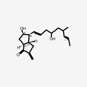 C=C1C[C@H]2[C@H](C=CCC(O)CC(C)/C=C/C)[C@H](O)C[C@@H]2C1=O